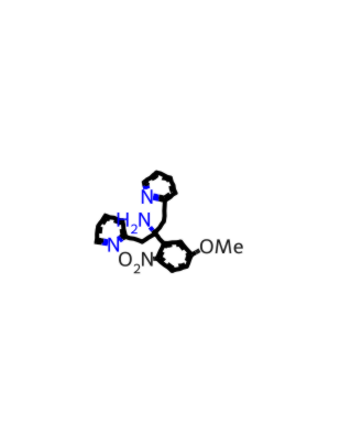 COc1ccc([N+](=O)[O-])c(C(N)(Cc2ccccn2)Cc2ccccn2)c1